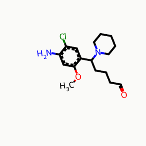 COc1cc(N)c(Cl)cc1C(CCCC=O)N1CCCCC1